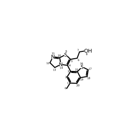 Cc1cc(C2=C(CCO)SC3=NCCN32)c2sccc2c1